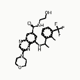 Cc1c(C(C)Nc2cc(C(=O)NCCO)cc3ncc(N4CCOCC4)nc23)cccc1C(F)(F)F